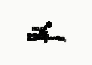 CCOC(=O)C(CCc1ccccc1)NC(C)C(=O)N1Cc2cc(OC)c(OC)cc2CC1C(=O)OCCCCCO[N+](=O)[O-]